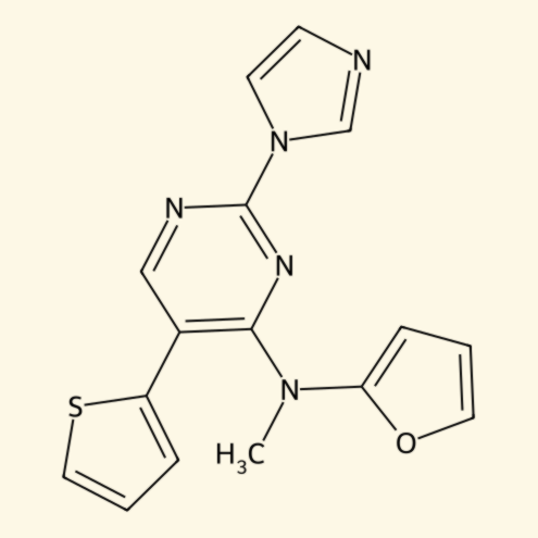 CN(c1ccco1)c1nc(-n2ccnc2)ncc1-c1cccs1